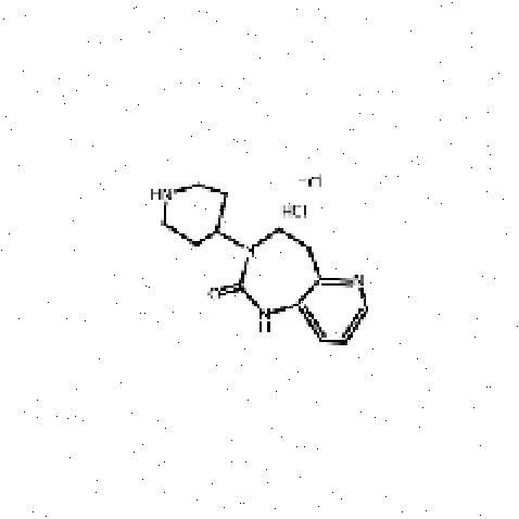 Cl.Cl.O=C1Nc2cccnc2CCN1C1CCNCC1